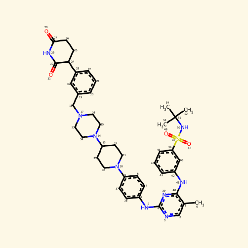 Cc1cnc(Nc2ccc(N3CCC(N4CCN(Cc5cccc(C6CCC(=O)NC6=O)c5)CC4)CC3)cc2)nc1Nc1cccc(S(=O)(=O)NC(C)(C)C)c1